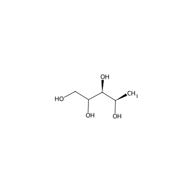 C[C@@H](O)[C@H](O)C(O)CO